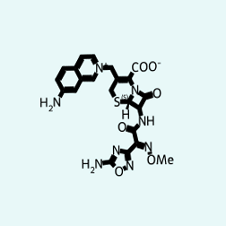 CON=C(C(=O)NC1C(=O)N2C(C(=O)[O-])=C(C[n+]3ccc4ccc(N)cc4c3)CS[C@@H]12)c1noc(N)n1